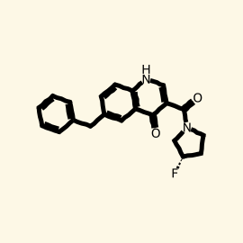 O=C(c1c[nH]c2ccc(Cc3ccccc3)cc2c1=O)N1CC[C@H](F)C1